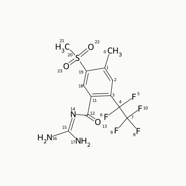 Cc1cc(C(F)(F)C(F)(F)F)c(C(=O)N=C(N)N)cc1S(C)(=O)=O